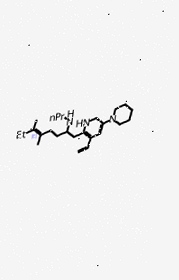 C=CC1=C(CC(CC/C(C)=C(\C)CC)NCCC)NCC(N2CCCCC2)=C1